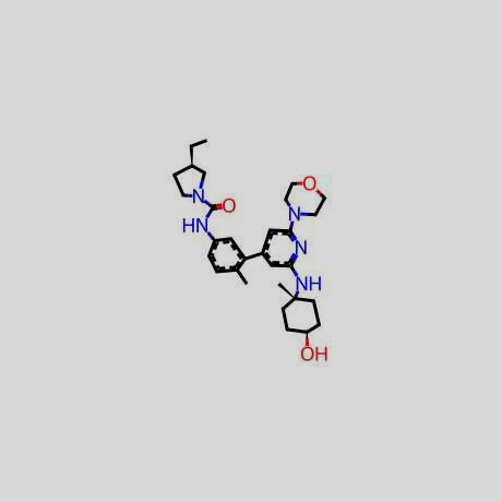 CC[C@@H]1CCN(C(=O)Nc2ccc(C)c(-c3cc(N[C@]4(C)CC[C@@H](O)CC4)nc(N4CCOCC4)c3)c2)C1